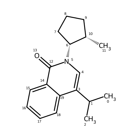 CC(C)c1cn([C@@H]2CCC[C@@H]2C)c(=O)c2ccccc12